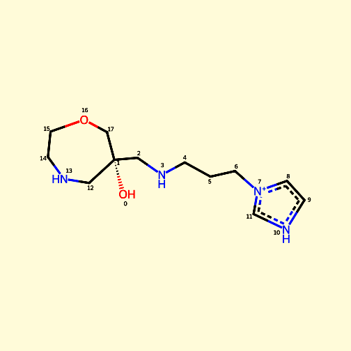 O[C@]1(CNCCC[n+]2cc[nH]c2)CNCCOC1